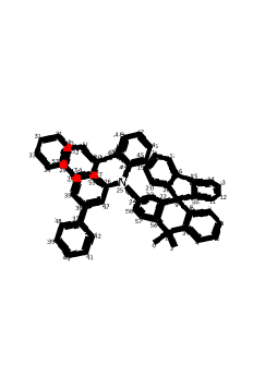 CC1(C)c2ccccc2C2(c3ccccc3-c3ccccc32)c2cc(N(c3cc(-c4ccccc4)cc(-c4ccccc4)c3)c3ccccc3-c3ccccc3)ccc21